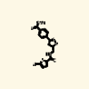 COC(=O)c1ccc(C2=NOC(CNC(=O)c3ccc(Cl)s3)C2)cc1